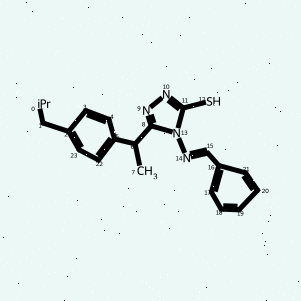 CC(C)Cc1ccc(C(C)c2nnc(S)n2N=Cc2ccccc2)cc1